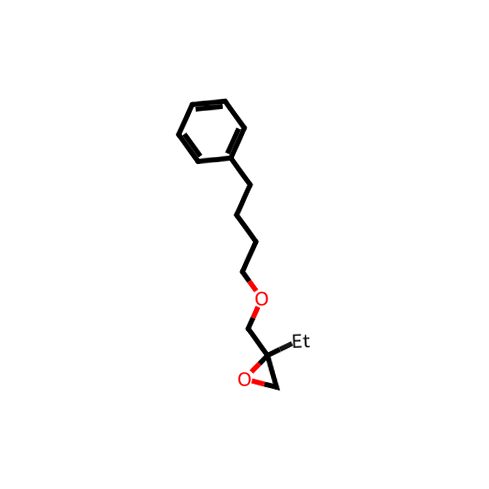 CCC1(COCCCCc2ccccc2)CO1